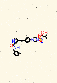 Cc1cccc(CNC(=O)c2cc(C#Cc3ccc(N4CCN(S(=O)(=O)N[C@@H](C(=O)O)C(C)C)CC4)cc3)ccn2)c1